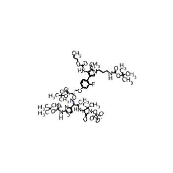 C=CCOC(=O)Nc1c(-c2ccc(OC[C@H](O/N=C(\C(=O)N[C@@H]3C(=O)N(OS(=O)(=O)[O-])C3(C)C)c3csc(NC(=O)OC(C)(C)C)n3)C(=O)OC(C)(C)C)cc2F)cn(CCCNC(=O)OC(C)(C)C)[n+]1C